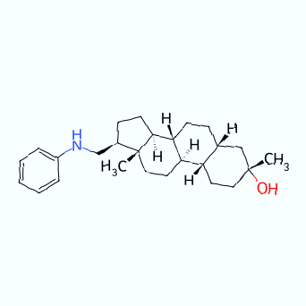 C[C@@]1(O)CC[C@H]2[C@H](CC[C@@H]3[C@@H]2CC[C@]2(C)[C@@H](CNc4ccccc4)CC[C@@H]32)C1